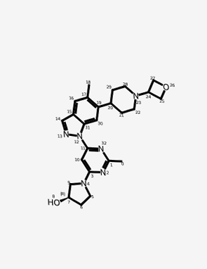 Cc1nc(N2CC[C@@H](O)C2)cc(-n2ncc3cc(C)c(C4CCN(C5COC5)CC4)cc32)n1